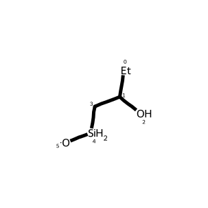 CCC(O)C[SiH2][O]